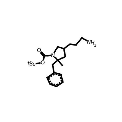 CC(C)(C)OC(=O)N1CC(CCCN)CC1(C)Cc1ccccc1